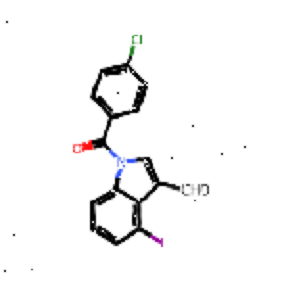 O=Cc1cn(C(=O)c2ccc(Cl)cc2)c2cccc(I)c12